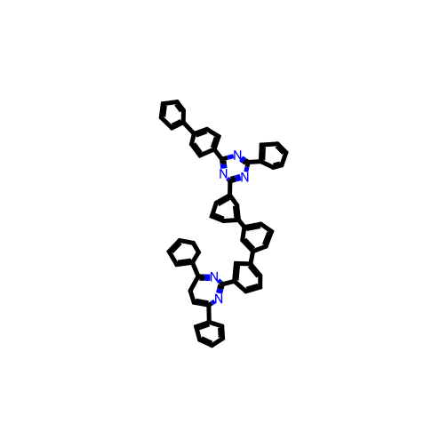 C1=CCCC(C2=NC(c3cccc(-c4cccc(-c5cccc(-c6nc(-c7ccccc7)nc(-c7ccc(-c8ccccc8)cc7)n6)c5)c4)c3)=NC(c3ccccc3)=CC2)=C1